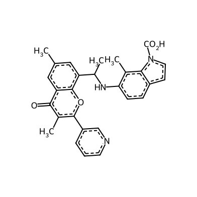 Cc1cc(C(C)Nc2ccc3ccn(C(=O)O)c3c2C)c2oc(-c3cccnc3)c(C)c(=O)c2c1